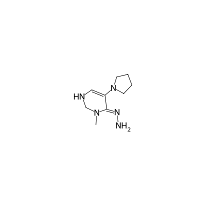 CN1CNC=C(N2CCCC2)C1=NN